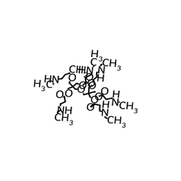 C=C(CCNCC)OCC(COCC(COC(=O)CCNCC)(COC(=O)CCNCC)COC(=O)CCNCC)(COC(=O)CCNCC)COC(=O)CCNCC